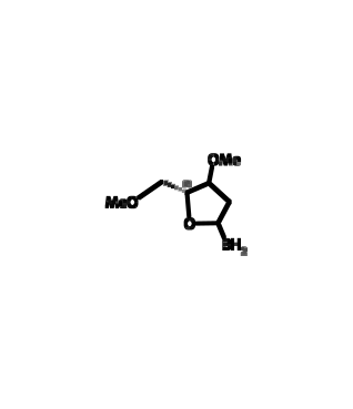 BC1CC(OC)[C@@H](COC)O1